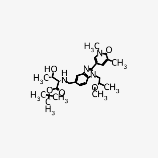 COC(C)Cn1c(-c2cc(C)c(=O)n(C)c2)nc2cc(CN[C@H](C(=O)OC(C)(C)C)[C@@H](C)O)ccc21